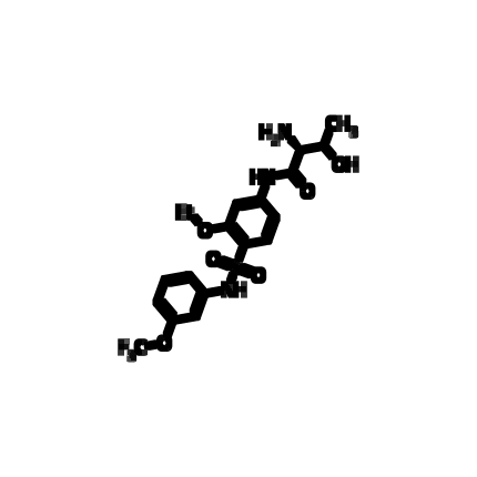 CCOc1cc(NC(=O)[C@@H](N)C(C)O)ccc1S(=O)(=O)Nc1cccc(OC(F)(F)F)c1